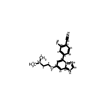 CN(C)CCOc1cc(-c2ccc(C#N)c(F)c2)n2ncnc2c1